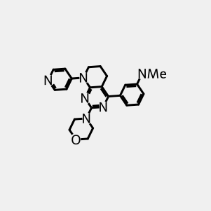 CNc1cccc(-c2nc(N3CCOCC3)nc3c2CCCN3c2ccncc2)c1